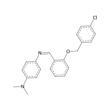 CN(C)c1ccc(/N=C\c2ccccc2OCc2ccc(Cl)cc2)cc1